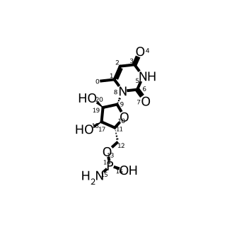 Cc1cc(=O)[nH]c(=O)n1[C@@H]1O[C@H](COP(N)O)[C@@H](O)[C@H]1O